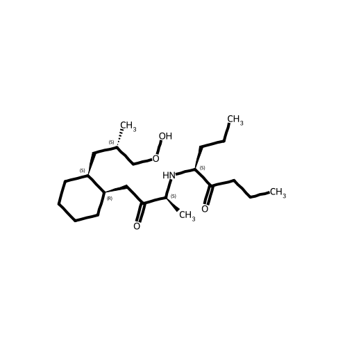 CCCC(=O)[C@H](CCC)N[C@@H](C)C(=O)C[C@H]1CCCC[C@H]1C[C@H](C)COO